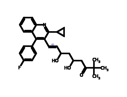 CC(C)(C)C(=O)CC(O)CC(O)/C=C/c1c(C2CC2)nc2ccccc2c1-c1ccc(F)cc1